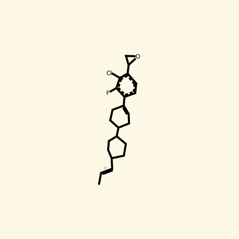 C/C=C/C1CCC(C2CC=C(c3ccc(C4CO4)c(Cl)c3F)CC2)CC1